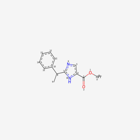 CCCOC(=O)c1cnc(C(C)c2ccccc2)[nH]1